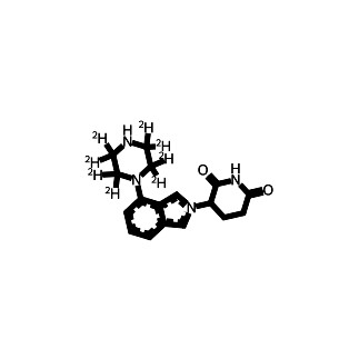 [2H]C1([2H])NC([2H])([2H])C([2H])([2H])N(c2cccc3cn(C4CCC(=O)NC4=O)cc23)C1([2H])[2H]